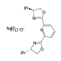 CC(C)[C@H]1COC(c2cccc(C3=N[C@@H](C(C)C)CO3)n2)=N1.[Cl-].[Cl-].[Cl-].[Nd+3]